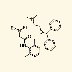 CCN(CC)CC(=O)Nc1c(C)cccc1C.CN(C)CCOC(c1ccccc1)c1ccccc1